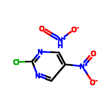 O=[N+]([O-])c1cnc(Cl)nc1.O=[NH+][O-]